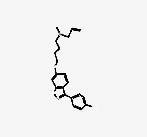 C=CCN(C)CCCCOc1ccc2c(-c3ccc(Cl)cc3)nsc2c1